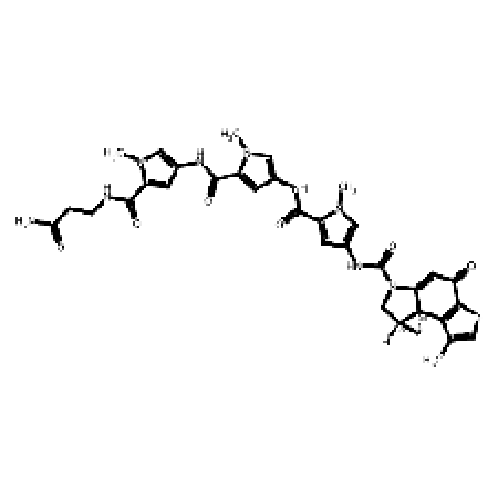 Cc1csc2c1[C@@]13C[C@@H]1CN(C(=O)Nc1cc(C(=O)Nc4cc(C(=O)Nc5cc(C(=O)NCCC(N)=O)n(C)c5)n(C)c4)n(C)c1)C3=CC2=O